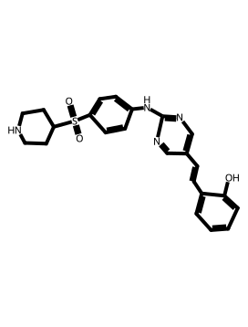 O=S(=O)(c1ccc(Nc2ncc(C=Cc3ccccc3O)cn2)cc1)C1CCNCC1